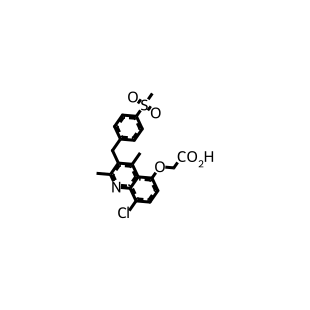 Cc1nc2c(Cl)ccc(OCC(=O)O)c2c(C)c1Cc1ccc(S(C)(=O)=O)cc1